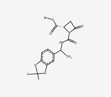 CC(C)OC(=O)[C@@H]1CC(=O)N1C(=O)NC(C)c1ccc2c(c1)OC(F)(F)O2